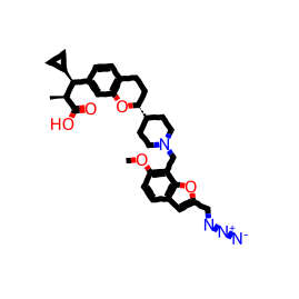 COc1ccc2cc(CN=[N+]=[N-])oc2c1CN1CCC([C@H]2CCc3ccc([C@H](C4CC4)[C@H](C)C(=O)O)cc3O2)CC1